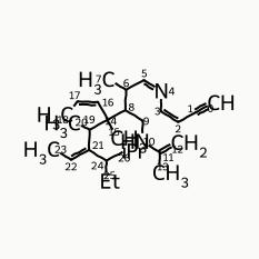 C#C/C=C\N=C/C(C)C(CNC(=C)C)C(C)(/C=C\C)C(C)/C(=C\C)C(CC)C(C)C